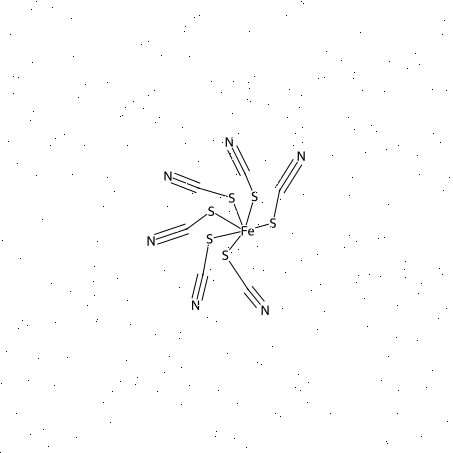 N#C[S][Fe]([S]C#N)([S]C#N)([S]C#N)([S]C#N)[S]C#N